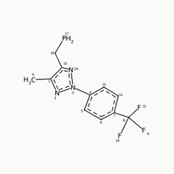 Cc1nn(-c2ccc(C(F)(F)F)cc2)nc1CP